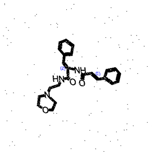 O=C(/C=C/c1ccccc1)N/C(=C\c1ccccc1)C(=O)NCCN1CCOCC1